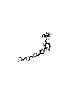 COCCOCCOCC1CN(c2nccc(COS(C)(=O)=O)n2)C1